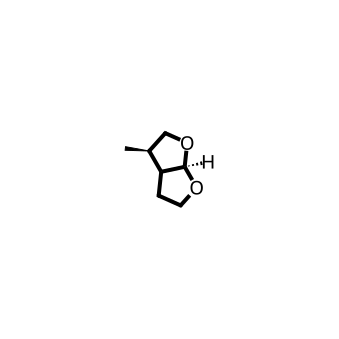 C[C@H]1CO[C@H]2OCCC21